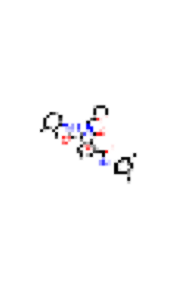 Cc1cc(C)cc(NC(=O)C2C3C=CC4(O3)C2C(=O)N(CC2CCCO2)C4C(=O)NC2CCCC(C)C2C)c1